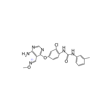 CO/N=C/c1c(N)ncnc1Oc1ccc(NC(=O)Nc2cccc(C)c2)c(Cl)c1